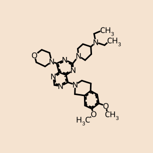 CCN(CC)C1CCN(c2nc(N3CCOCC3)c3ncnc(N4CCc5cc(OC)c(OC)cc5C4)c3n2)CC1